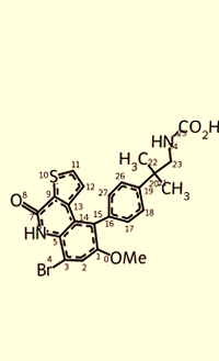 COc1cc(Br)c2[nH]c(=O)c3sccc3c2c1-c1ccc(C(C)(C)CNC(=O)O)cc1